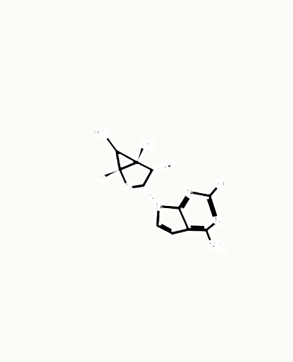 Nc1nc(Cl)nc2c1ccn2[C@@H]1O[C@@H]2C(O)[C@]2(O)[C@@H]1F